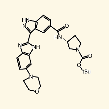 CC(C)(C)OC(=O)N1CC[C@@H](NC(=O)c2ccc3[nH]nc(-c4nc5ccc(N6CCOCC6)cc5[nH]4)c3c2)C1